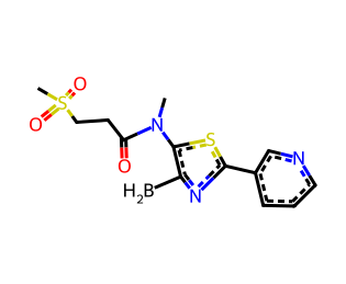 Bc1nc(-c2cccnc2)sc1N(C)C(=O)CCS(C)(=O)=O